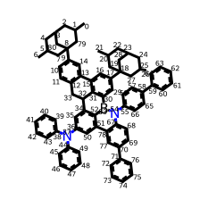 CC1CC2CC(C)CC(c3ccc4c(c3)-c3cc(C56CC(C)CC(CC(C)C5)C6)cc5c3C(C4)c3cc(N(c4ccccc4)c4ccccc4)cc4c3B5N(c3ccc(-c5ccccc5)cc3)c3ccc(-c5ccccc5)cc3-4)(C1)C2